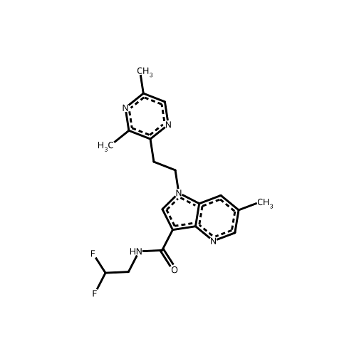 Cc1cnc2c(C(=O)NCC(F)F)cn(CCc3ncc(C)nc3C)c2c1